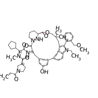 C=CC(=O)N1CC[C@H](C(=O)N(C)[C@H](C(=O)N[C@H]2Cc3cc(O)cc(c3)-c3ccc4c(c3)c(c(-c3ccccc3COC)n4CC)CC(C)(C)COCC3(C=O)CCCN(N3)C2=O)C2CCCC2)C1